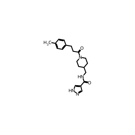 Cc1ccc(CCC(=O)N2CCC(CNC(=O)c3cn[nH]c3)CC2)cc1